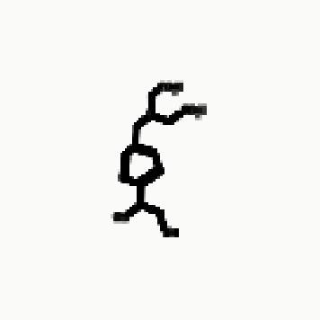 CC(C)(C)CC(c1ccc(CN(CC(=O)O)CC(=O)O)cc1)C(C)(C)C